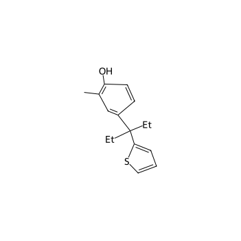 CCC(CC)(c1ccc(O)c(C)c1)c1cccs1